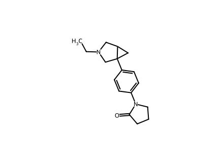 CCN1CC2CC2(c2ccc(N3CCCC3=O)cc2)C1